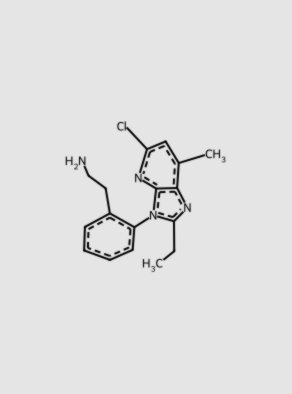 CCc1nc2c(C)cc(Cl)nc2n1-c1ccccc1CCN